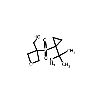 CC(C)(C)C1(S(=O)(=O)C2(CO)COC2)CC1